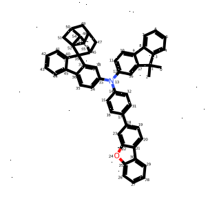 CC1(C)c2ccccc2-c2ccc(N(c3ccc(-c4ccc5c(c4)oc4ccccc45)cc3)c3ccc4c(c3)C3(c5ccccc5-4)C4CC5CC6CC3(C5)C6C4)cc21